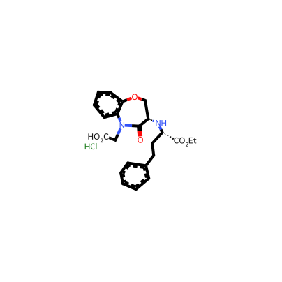 CCOC(=O)[C@H](CCc1ccccc1)N[C@H]1COc2ccccc2N(CC(=O)O)C1=O.Cl